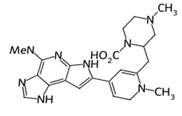 CNc1nc2[nH]c(C3=CCN(C)C(CC4CN(C)CCN4C(=O)O)=C3)cc2c2[nH]cnc12